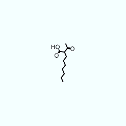 CCCCCCCC(C(C)=O)C(=O)O